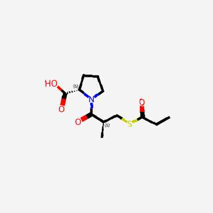 CCC(=O)SC[C@@H](C)C(=O)N1CCC[C@H]1C(=O)O